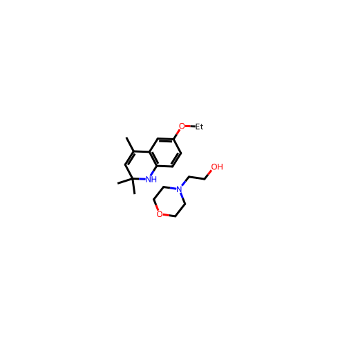 CCOc1ccc2c(c1)C(C)=CC(C)(C)N2.OCCN1CCOCC1